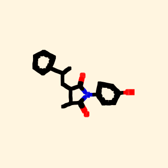 CC(CC1C(=O)N(c2ccc(O)cc2)C(=O)C1C)c1ccccc1